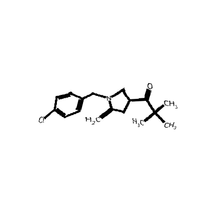 C=C1CC(C(=O)C(C)(C)C)CN1Cc1ccc(Cl)cc1